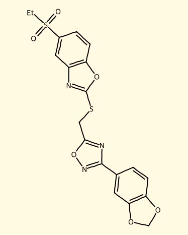 CCS(=O)(=O)c1ccc2oc(SCc3nc(-c4ccc5c(c4)OCO5)no3)nc2c1